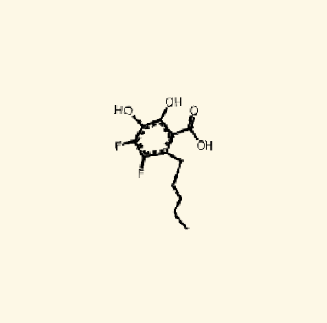 CCCCCc1c(F)c(F)c(O)c(O)c1C(=O)O